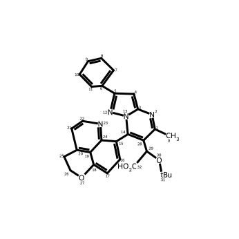 Cc1nc2cc(-c3ccccc3)nn2c(-c2ccc3c4c(ccnc24)CCO3)c1C(OC(C)(C)C)C(=O)O